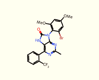 COc1cc(Br)c(-n2c(=O)[nH]c3c(-c4ccccc4C(F)(F)F)nc(C)nc32)c(OC)c1